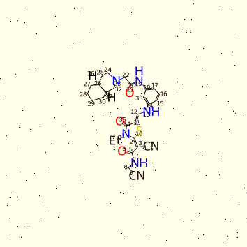 CCn1c(=C(C#N)C(=O)NCC#N)sc(=CNc2cccc(NC(=O)CN3CC[C@@H]4CCCC[C@@H]4C3)c2)c1=O